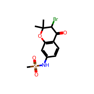 CC1(C)Oc2cc(NS(C)(=O)=O)ccc2C(=O)C1Br